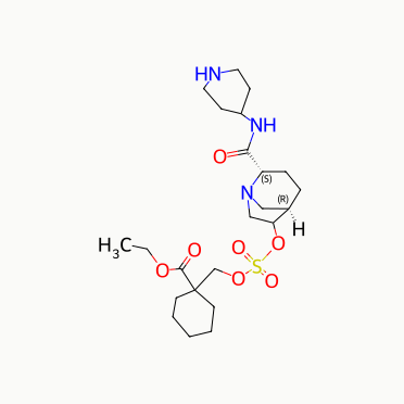 CCOC(=O)C1(COS(=O)(=O)OC2CN3C[C@H]2CC[C@H]3C(=O)NC2CCNCC2)CCCCC1